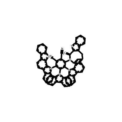 C=C1c2sc3ccccc3c2CC2=CC(=C2)N1c1c(C#N)c(C#N)c(-n2c3ccccc3c3ccc4c5ccccc5sc4c32)c(-n2c3ccccc3c3ccccc32)c1-n1c2ccccc2c2ccccc21